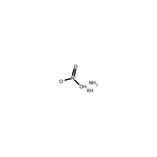 N.O=[N+]([O-])O.[KH]